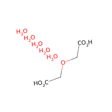 O.O.O.O.O.O=C(O)COCC(=O)O